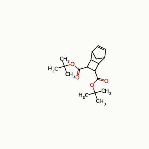 CC(C)(C)OC(=O)C1C(C(=O)OC(C)(C)C)C2C3C=CC(C3)C12